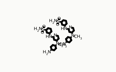 CN(c1ccc(N)cc1)c1ccnc(Nc2cccc(S(N)(=O)=O)c2)c1.CN(c1ccc(N)cc1)c1ccnc(Nc2cccc(S(N)(=O)=O)c2)c1